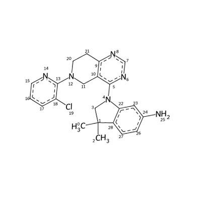 CC1(C)CN(c2ncnc3c2CN(c2ncccc2Cl)CC3)c2cc(N)ccc21